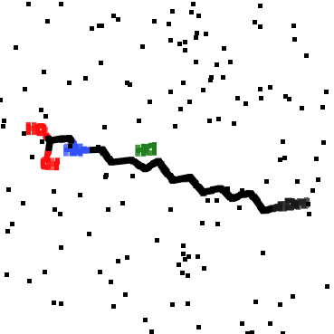 CCCCCCCCCCCCCCCCCCCCCCNCC(O)O.Cl